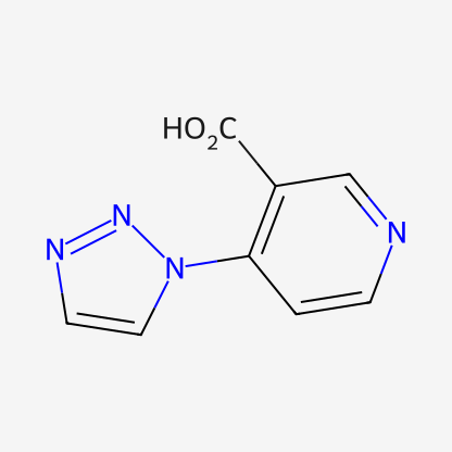 O=C(O)c1cnccc1-n1ccnn1